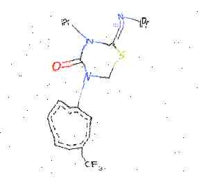 CC(C)/N=C1\SCN(c2cccc(C(F)(F)F)c2)C(=O)N1C(C)C